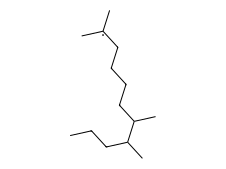 CCCC(C)C(C)CCCC[C](C)C